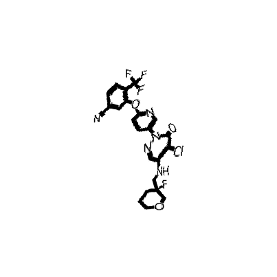 N#Cc1ccc(C(F)(F)F)c(Oc2ccc(-n3ncc(NC[C@@]4(F)CCCOC4)c(Cl)c3=O)cn2)c1